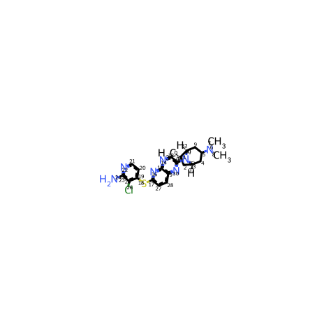 C[C@H]1C[C@H]2CC(N(C)C)C[C@H]1N2c1cnc2nc(Sc3ccnc(N)c3Cl)ccc2n1